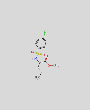 CCCC(NS(=O)(=O)c1ccc(Cl)cc1)C(=O)OC